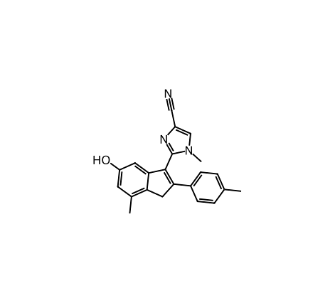 Cc1ccc(C2=C(c3nc(C#N)cn3C)c3cc(O)cc(C)c3C2)cc1